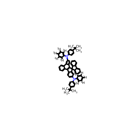 [2H]c1c([2H])c([2H])c(N(c2ccc(C(C)(C)C)cc2)c2ccc3c(c2)C2(c4ccccc4-c4ccccc42)c2c-3c3ccccc3c3cc(N(c4ccc(C(C)(C)C)cc4)c4c([2H])c([2H])c([2H])c([2H])c4[2H])ccc23)c([2H])c1[2H]